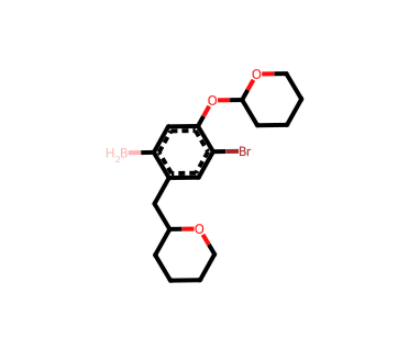 Bc1cc(OC2CCCCO2)c(Br)cc1CC1CCCCO1